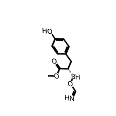 COC(=O)[C@@H](BOC=N)Cc1ccc(O)cc1